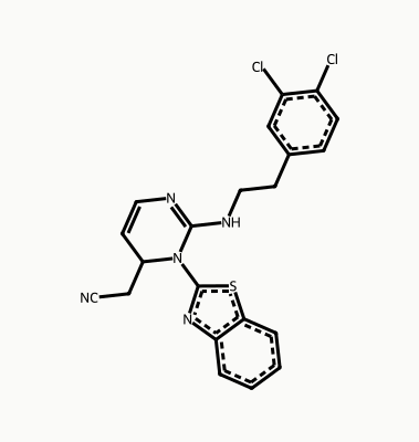 N#CCC1C=CN=C(NCCc2ccc(Cl)c(Cl)c2)N1c1nc2ccccc2s1